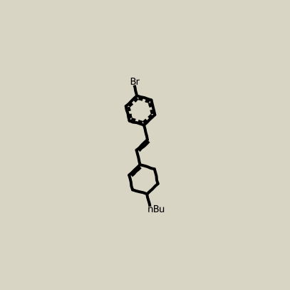 CCCCC1CC=C(/C=C/c2ccc(Br)cc2)CC1